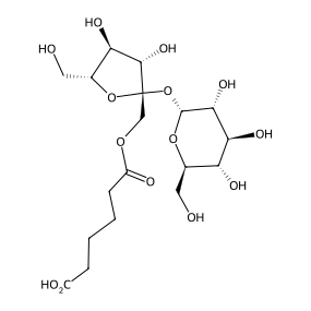 O=C(O)CCCCC(=O)OC[C@@]1(O[C@H]2O[C@H](CO)[C@@H](O)[C@H](O)[C@H]2O)O[C@H](CO)[C@@H](O)[C@@H]1O